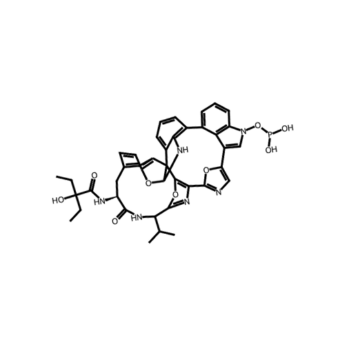 CCC(O)(CC)C(=O)N[C@H]1Cc2ccc3c(c2)C24c5cccc(c5NC2O3)-c2cccc3c2c(cn3OP(O)O)-c2cnc(o2)-c2nc(oc24)C(C(C)C)NC1=O